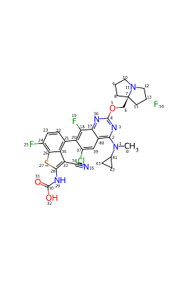 CN(c1nc(OC[C@@]23CCCN2C[C@H](F)C3)nc2c(F)c(-c3ccc(F)c4sc(NC(=O)O)c(C#N)c34)c(Cl)cc12)C1CC1